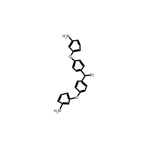 CCC(c1ccc(Oc2cccc(N)c2)cc1)c1ccc(Oc2cccc(N)c2)cc1